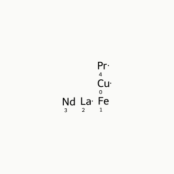 [Cu].[Fe].[La].[Nd].[Pr]